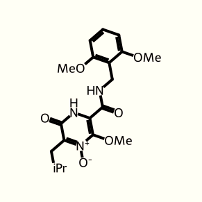 COc1cccc(OC)c1CNC(=O)c1[nH]c(=O)c(CC(C)C)[n+]([O-])c1OC